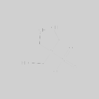 CC[P+](CC)(CC)S(=O)(=O)[O-]